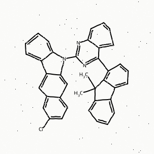 CC1(C)c2ccccc2-c2cccc(-c3nc(-n4c5ccccc5c5cc6cc(Cl)ccc6cc54)nc4ccccc34)c21